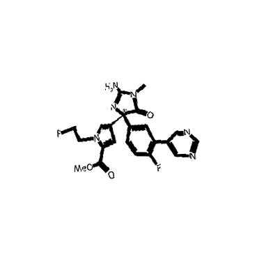 COC(=O)c1cc([C@@]2(c3ccc(F)c(-c4cncnc4)c3)N=C(N)N(C)C2=O)cn1CCF